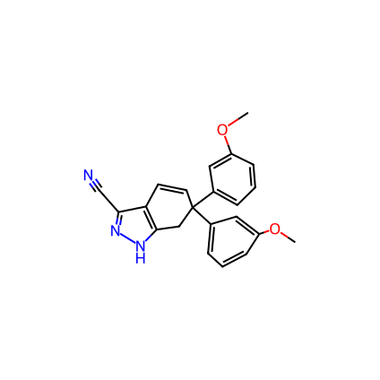 COc1cccc(C2(c3cccc(OC)c3)C=Cc3c(C#N)n[nH]c3C2)c1